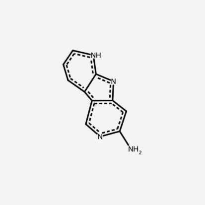 Nc1cc2nc3[nH]cccc-3c2cn1